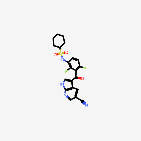 N#Cc1cnc2[nH]cc(C(=O)c3c(F)ccc(NS(=O)(=O)C4CCCCC4)c3F)c2c1